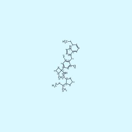 CCC/C=C\C=C1/NC=CN1Cc1c(F)cc(C2(NOC3CCCC3C(C)CC)CCC2C)cc1Cl